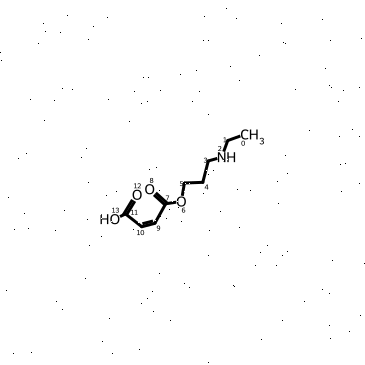 CCNCCCOC(=O)/C=C\C(=O)O